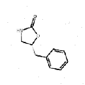 O=C1NC[C@@H](Cc2ccccc2)O1